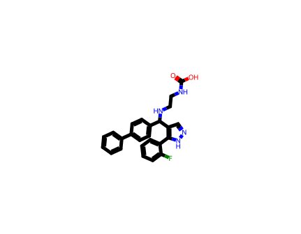 O=C(O)NCCNC(c1ccc(-c2ccccc2)cc1)c1cn[nH]c1-c1ccccc1F